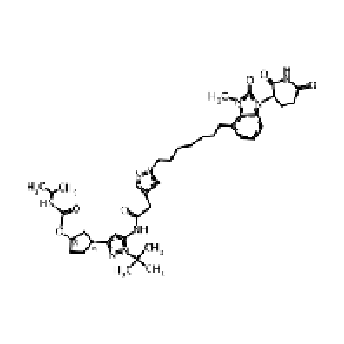 CC(C)NC(=O)O[C@@H]1CC[C@H](c2cc(NC(=O)Cc3cnn(CCCCCCCc4cccc5c4n(C)c(=O)n5C4CCC(=O)NC4=O)c3)n(C(C)(C)C)n2)C1